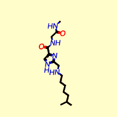 CNC(=O)CNC(=O)c1c[nH]c(CNCCCCCC(C)C)n1